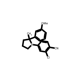 COc1cccc(C2(C)CCCN2c2ccc(C#N)c(Cl)c2)c1